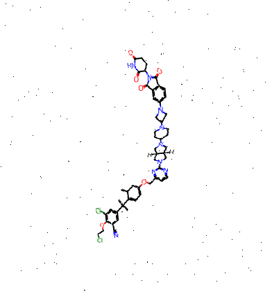 CC1CC(OCc2ccnc(N3C[C@@H]4CN(C5CCN(C6CN(c7ccc8c(c7)C(=O)N(C7CCC(=O)NC7=O)C8=O)C6)CC5)C[C@@H]4C3)n2)=CC=C1C(C)(C)c1cc(Cl)c(OCCCl)c(C#N)c1